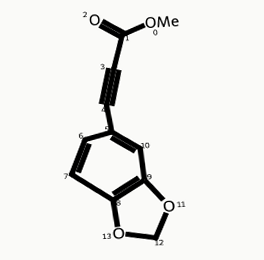 COC(=O)C#Cc1ccc2c(c1)OCO2